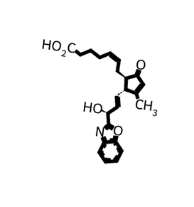 CC1=CC(=O)[C@H](C/C=C\CCCC(=O)O)[C@H]1/C=C/[C@@H](O)c1nc2ccccc2o1